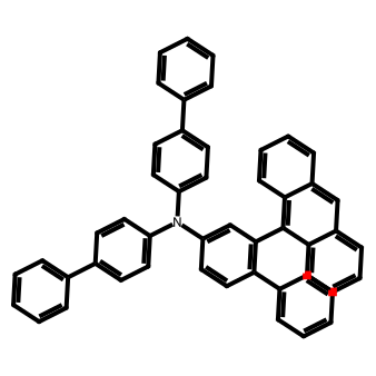 c1ccc(-c2ccc(N(c3ccc(-c4ccccc4)cc3)c3ccc(-c4ccccc4)c(-c4c5ccccc5cc5ccccc45)c3)cc2)cc1